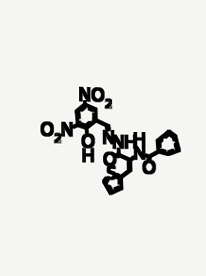 O=C(N/N=C/c1cc([N+](=O)[O-])cc([N+](=O)[O-])c1O)/C(=C\c1cccs1)NC(=O)c1ccccc1